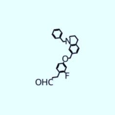 O=CCCc1ccc(OCc2ccc3c(c2)N(Cc2ccccc2)CCC3)cc1F